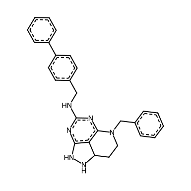 c1ccc(CN2CCC3NNc4nc(NCc5ccc(-c6ccccc6)cc5)nc2c43)cc1